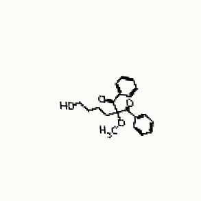 COC(CCCCO)(C(=O)c1ccccc1)C(=O)c1ccccc1